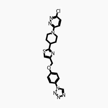 Clc1ccc(N2CCC(c3nc(COc4ccc(-n5cnnn5)cc4)cs3)CC2)nn1